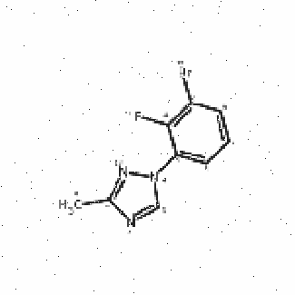 Cc1ncn(-c2cccc(Br)c2F)n1